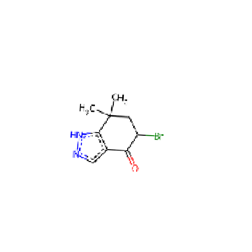 CC1(C)CC(Br)C(=O)c2cn[nH]c21